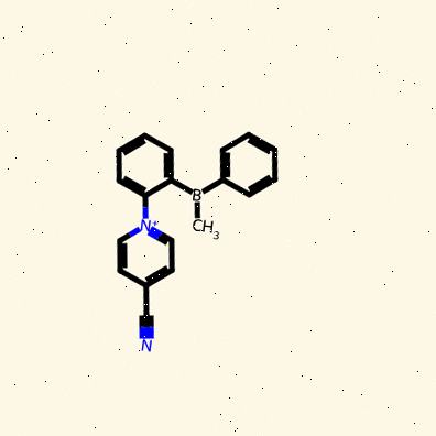 CB(c1ccccc1)c1ccccc1-[n+]1ccc(C#N)cc1